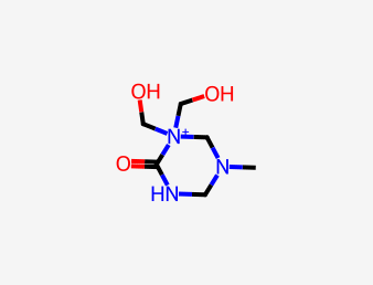 CN1CNC(=O)[N+](CO)(CO)C1